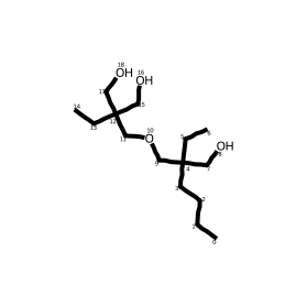 CCCCC(CC)(CO)COCC(CC)(CO)CO